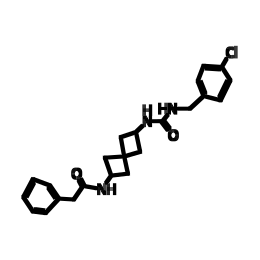 O=C(Cc1ccccc1)NC1CC2(C1)CC(NC(=O)NCc1ccc(Cl)cc1)C2